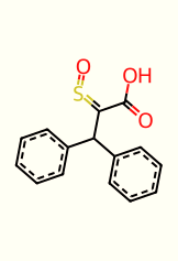 O=S=C(C(=O)O)C(c1ccccc1)c1ccccc1